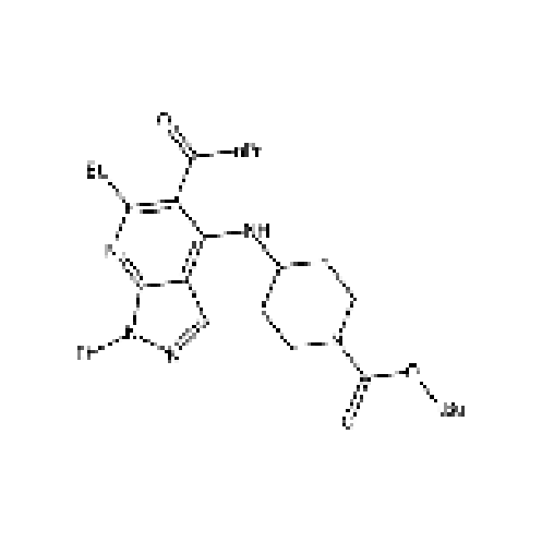 CCCC(=O)c1c(CC)nc2c(cnn2CC)c1NC1CCN(C(=O)OC(C)(C)C)CC1